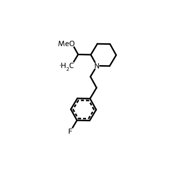 [CH2]C(OC)C1CCCCN1CCc1ccc(F)cc1